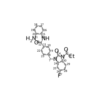 CCC(=O)n1c(=O)n(Cc2ccc(C(=O)Nc3ccccc3N)cc2)c2cc(F)ccc21